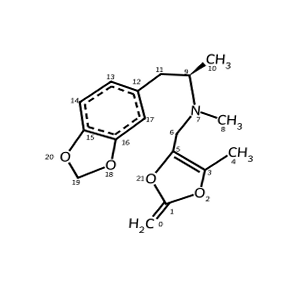 C=C1OC(C)=C(CN(C)[C@H](C)Cc2ccc3c(c2)OCO3)O1